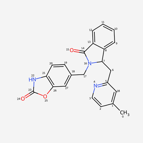 Cc1ccnc(CC2c3ccccc3C(=O)N2Cc2ccc3[nH]c(=O)oc3c2)c1